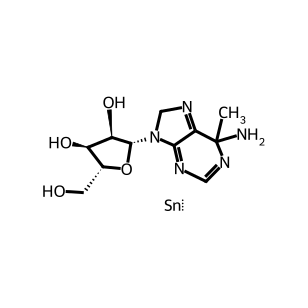 CC1(N)N=CN=C2C1=NCN2[C@@H]1O[C@H](CO)[C@@H](O)[C@H]1O.[Sn]